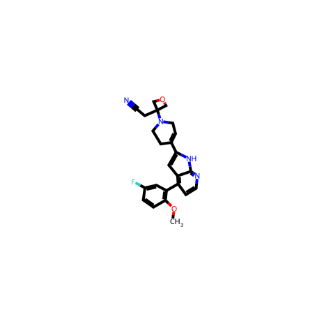 COc1ccc(F)cc1-c1ccnc2[nH]c(C3=CCN(C4(CC#N)COC4)CC3)cc12